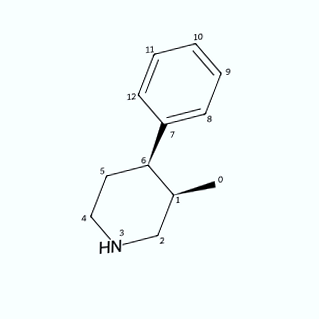 C[C@H]1CNCC[C@H]1c1ccccc1